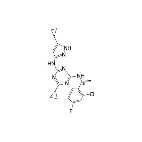 C[C@H](Nc1nc(Nc2cc(C3CC3)[nH]n2)nc(C2CC2)n1)c1ccc(F)cc1Cl